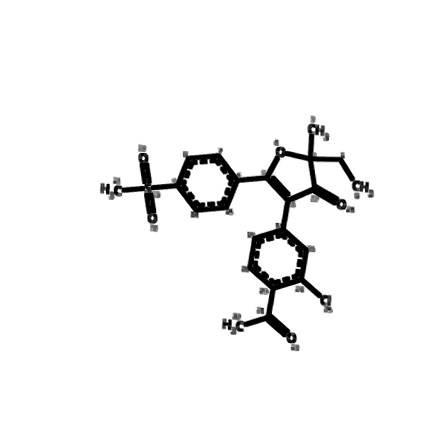 CCC1(C)OC(c2ccc(S(C)(=O)=O)cc2)=C(c2ccc(C(C)=O)c(Cl)c2)C1=O